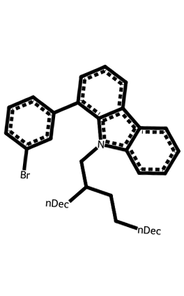 CCCCCCCCCCCCC(CCCCCCCCCC)Cn1c2ccccc2c2cccc(-c3cccc(Br)c3)c21